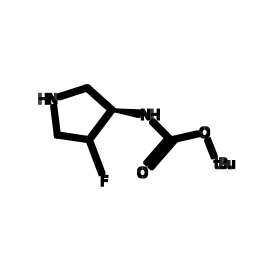 CC(C)(C)OC(=O)N[C@@H]1CNCC1F